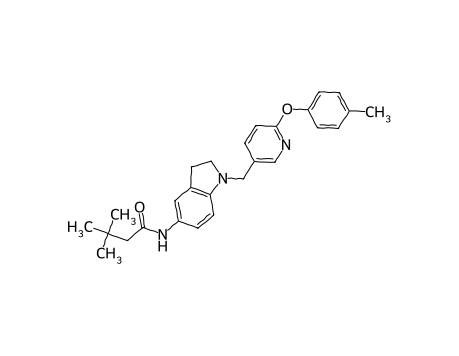 Cc1ccc(Oc2ccc(CN3CCc4cc(NC(=O)CC(C)(C)C)ccc43)cn2)cc1